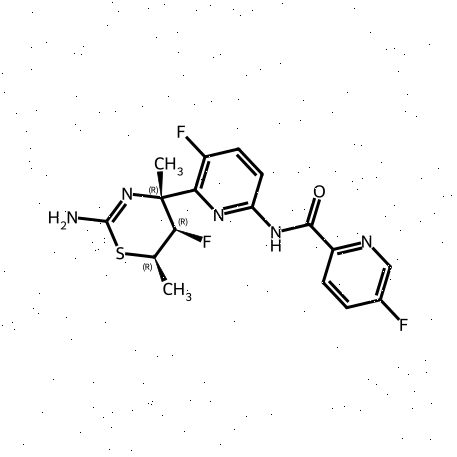 C[C@H]1SC(N)=N[C@](C)(c2nc(NC(=O)c3ccc(F)cn3)ccc2F)[C@H]1F